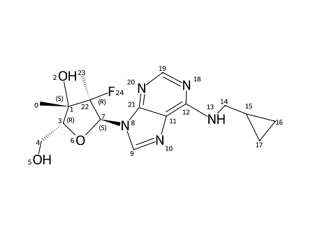 C[C@]1(O)[C@@H](CO)O[C@H](n2cnc3c(NCC4CC4)ncnc32)[C@]1(C)F